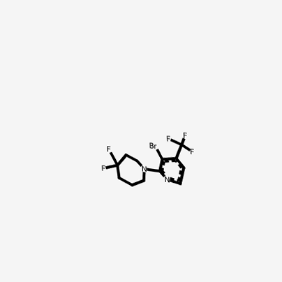 FC1(F)CCCN(c2nccc(C(F)(F)F)c2Br)CC1